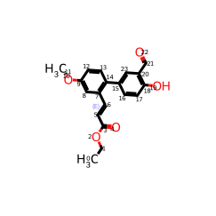 CCOC(=O)/C=C/c1cc(OC)ccc1-c1ccc(O)c(C=O)c1